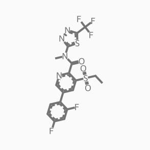 CCS(=O)(=O)c1cc(-c2ccc(F)cc2F)cnc1C(=O)N(C)c1nnc(C(F)(F)F)s1